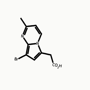 Cc1ccn2c(CC(=O)O)cc(Br)c2n1